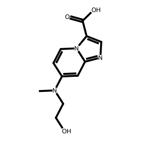 CN(CCO)c1ccn2c(C(=O)O)cnc2c1